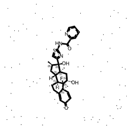 C[C@@H]1C[C@H]2[C@@H]3CCC4=CC(=O)C=C[C@]4(C)[C@@]3(F)[C@@H](O)C[C@]2(C)[C@@]1(O)c1csc(NC(=O)c2ccccn2)n1